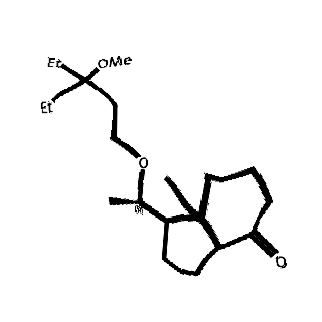 CCC(CC)(CCO[C@H](C)C1CCC2C(=O)CCCC21C)OC